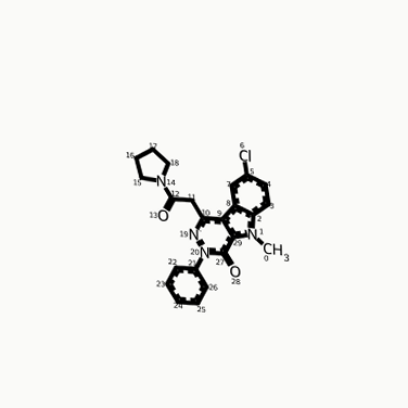 Cn1c2ccc(Cl)cc2c2c(CC(=O)N3CCCC3)nn(-c3ccccc3)c(=O)c21